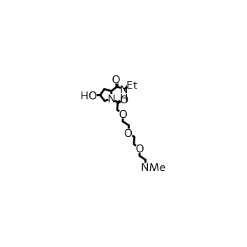 CCNC(=O)C1CC(O)CN1C(=O)COCCOCCOCCNC